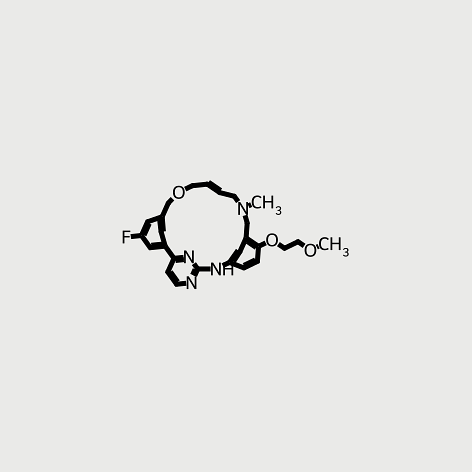 COCCOc1ccc2cc1CN(C)C/C=C/COCc1cc(F)cc(c1)-c1ccnc(n1)N2